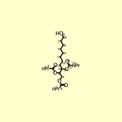 CCCC(=O)OCC(OC(=O)CCC)C(CCCCCCCCO)OC(=O)CCC